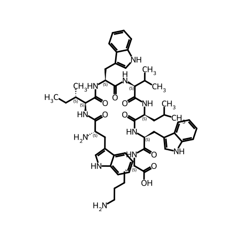 CC[C@H](C)[C@H](NC(=O)[C@@H](N)Cc1c[nH]c2ccccc12)C(=O)N[C@@H](Cc1c[nH]c2ccccc12)C(=O)N[C@H](C(=O)N[C@@H](CC(C)C)C(=O)N[C@@H](Cc1c[nH]c2ccccc12)C(=O)N[C@@H](CCCCN)C(=O)O)C(C)C